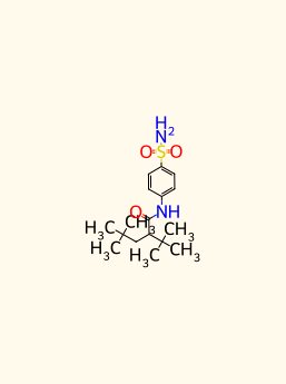 CC(C)(C)CC(C(=O)Nc1ccc(S(N)(=O)=O)cc1)C(C)(C)C